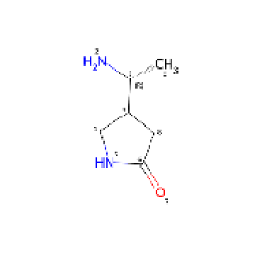 C[C@@H](N)C1CNC(=O)C1